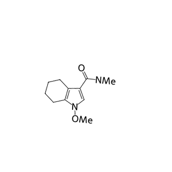 CNC(=O)c1cn(OC)c2c1CCCC2